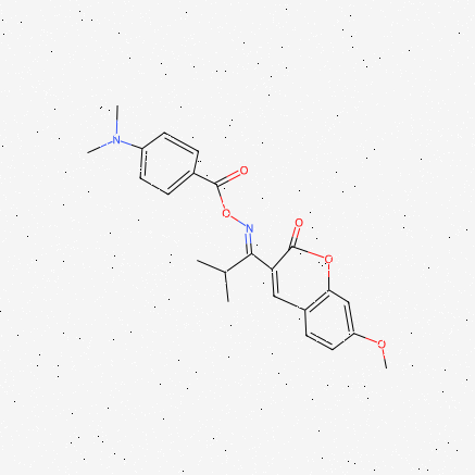 COc1ccc2cc(/C(=N/OC(=O)c3ccc(N(C)C)cc3)C(C)C)c(=O)oc2c1